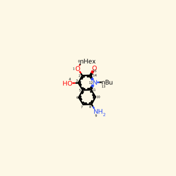 CCCCCCOc1c(O)c2ccc(N)cc2n(CCCC)c1=O